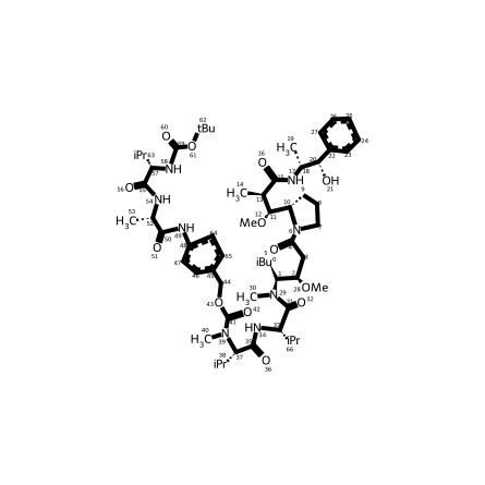 CC[C@H](C)[C@@H]([C@@H](CC(=O)N1CCC[C@H]1[C@H](OC)[C@@H](C)C(=O)N[C@H](C)[C@@H](O)c1ccccc1)OC)N(C)C(=O)[C@@H](NC(=O)[C@H](C(C)C)N(C)C(=O)OCc1ccc(NC(=O)[C@H](C)NC(=O)[C@@H](NC(=O)OC(C)(C)C)C(C)C)cc1)C(C)C